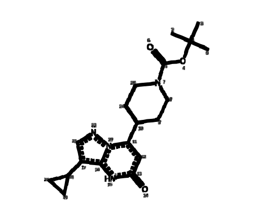 CC(C)(C)OC(=O)N1CCC(c2cc(=O)[nH]c3c(C4CC4)cnn23)CC1